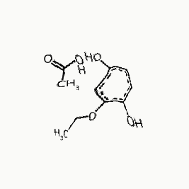 CC(=O)O.CCOc1cc(O)ccc1O